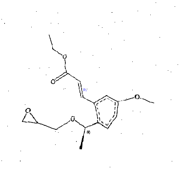 CCOC(=O)/C=C/c1cc(OC)ccc1[C@@H](C)OCC1CO1